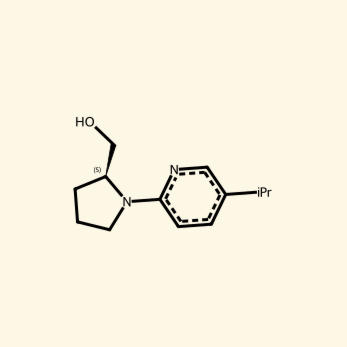 CC(C)c1ccc(N2CCC[C@H]2CO)nc1